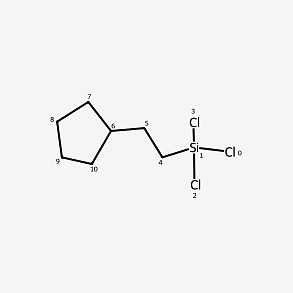 Cl[Si](Cl)(Cl)CCC1CCCC1